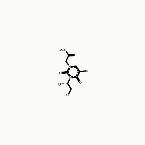 COC(=O)Cn1cc(Br)c(=O)n([C@@H](C)CCl)c1=O